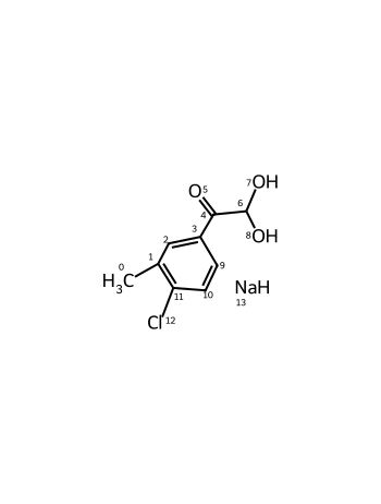 Cc1cc(C(=O)C(O)O)ccc1Cl.[NaH]